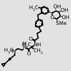 CS[C@H]1O[C@@H](c2ccc(C)c(Cc3ccc(CCCC(=O)NC(C)(C)C(=O)NCCN(C)CC#CC4CC4)cc3)c2)[C@H](O)[C@@H](O)[C@@H]1O